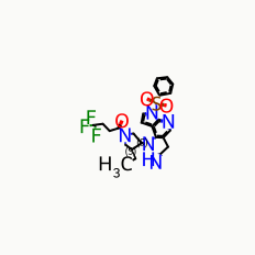 CC[C@H]1CN(C(=O)CCC(F)(F)F)C[C@H]1Nc1c(CC#N)cnc2c1ccn2S(=O)(=O)c1ccccc1